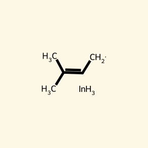 [CH2]C=C(C)C.[InH3]